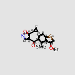 CCOc1csc2ccc(C(=O)c3cnoc3C3CC3)c(SC)c12